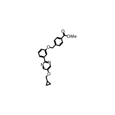 COC(=O)c1ccc(COc2cccc(-c3ncc(OCC4CC4)cn3)c2)cc1